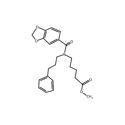 COC(=O)CCCCN(CCCc1ccccc1)C(=O)c1ccc2c(c1)OCO2